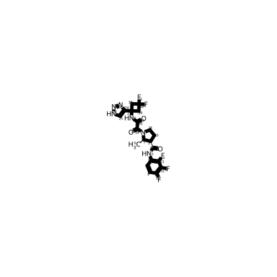 C[C@H]1[C@@H](C(=O)Nc2ccc(F)c(F)c2F)CCN1C(=O)C(=O)NC1(c2c[nH]nn2)CC(F)(F)C1